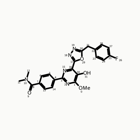 COc1nc(-c2ccc(C(=O)N(C)C)cc2)nc(-c2nnc(Cc3ccc(F)cc3)o2)c1O